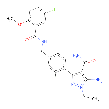 CCn1nc(-c2ccc(CNC(=O)c3cc(F)ccc3OC)cc2F)c(C(N)=O)c1N